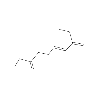 C=C(C=CCCC(=C)CC)CC